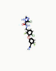 N#Cc1cc(Oc2c(Cl)ccc(CNC(=O)c3[nH]cnc3Cl)c2F)ccc1F